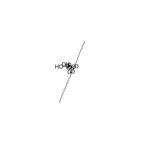 CCCCCCCCCCCCCCCCCCCCCC(=O)O[C@H](COC(=O)CCCCCCCCCCCCCCCCC)COP(=O)(O)OC[C@@H](O)CO